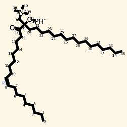 CCCCCCCC/C=C\CCCCCCCC(=O)C(CCCCCCCCCCCCCCCC)(C[N+](C)(C)C)O[PH-]